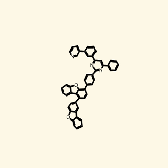 c1ccc(-c2cc(-c3cccc(-c4cccnc4)c3)nc(-c3ccc(-c4ccc(-c5ccc6oc7ccccc7c6c5)c5c4oc4ccccc45)cc3)n2)cc1